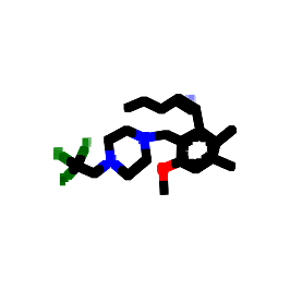 CCC/C=C\c1c(C)c(C)cc(OC)c1CN1CCN(CC(F)(F)F)CC1